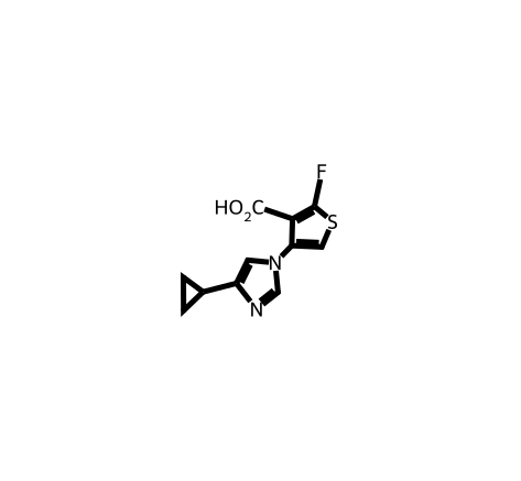 O=C(O)c1c(-n2cnc(C3CC3)c2)csc1F